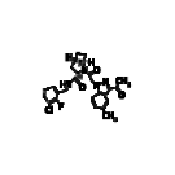 CC(=O)c1nn(CC(=O)N2[C@@H]3CC[C@@H]3C[C@H]2C(=O)NCc2cccc(Cl)c2F)c2ccc(C)cc12